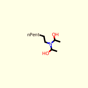 CCCCCCCN(C(C)O)C(C)O